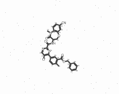 Cc1ccc(-c2nc(C(=O)NC3COc4cc(C#N)ccc4N(C)C3=O)ncc2Cl)cc1C(=O)OCc1ccccc1